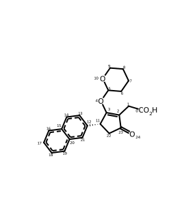 O=C(O)CC1=C(OC2CCCCO2)[C@@H](c2ccc3ccccc3c2)CC1=O